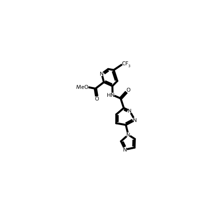 COC(=O)c1ncc(C(F)(F)F)cc1NC(=O)c1ccc(-n2ccnc2)nn1